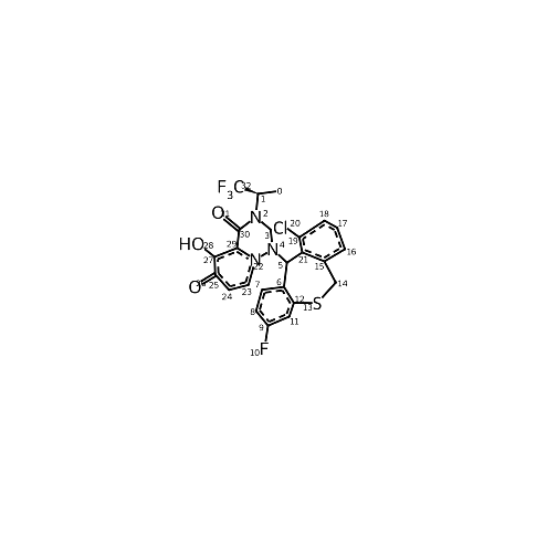 C[C@@H](N1CN(C2c3ccc(F)cc3SCc3cccc(Cl)c32)n2ccc(=O)c(O)c2C1=O)C(F)(F)F